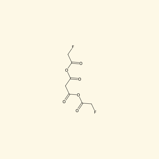 O=C(CF)OC(=O)CC(=O)OC(=O)CF